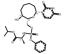 CC(C)OC(=O)[C@H](C)NP(=O)(OC[C@H]1O[C@@H](n2ccc(=O)[nH]c2=O)CCCC[C@@H]1O)Oc1ccccc1